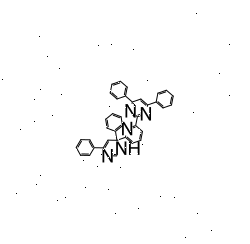 C1=NC(c2ccccc2)=CC(c2ccccc2)(c2cccc(-c3nc(-c4ccccc4)cc(-c4ccccc4)n3)n2)N1